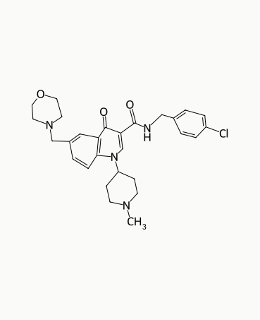 CN1CCC(n2cc(C(=O)NCc3ccc(Cl)cc3)c(=O)c3cc(CN4CCOCC4)ccc32)CC1